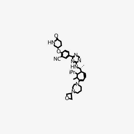 CC(C)C1C(C)C(N2CCCN(C3COC3)CC2)=CC#CC1[C@@H](C)Nc1ncnc(-c2ccc(O[C@@H]3CCC(=O)NC3)c(C#N)c2)n1